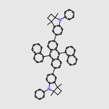 CC12CCC1(C)N(c1ccccc1)c1ccc(-c3ccc4c(-c5cccc6ccccc56)c5cc(-c6ccc7c(c6)C6(C)CCC6(C)N7c6ccccc6)ccc5c(-c5cccc6ccccc56)c4c3)cc12